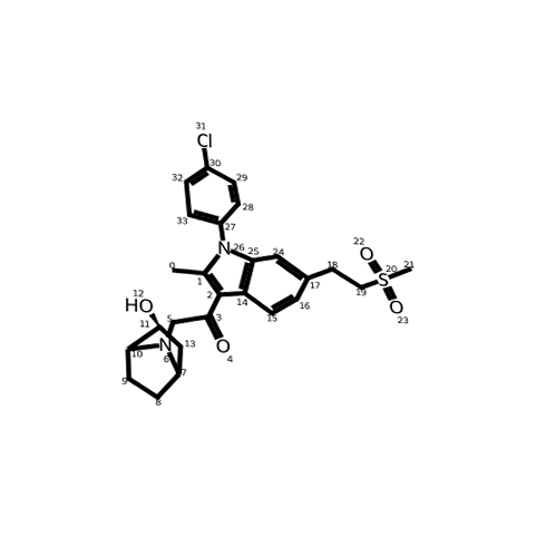 Cc1c(C(=O)CN2C3CCC2[C@@H](O)C3)c2ccc(CCS(C)(=O)=O)cc2n1-c1ccc(Cl)cc1